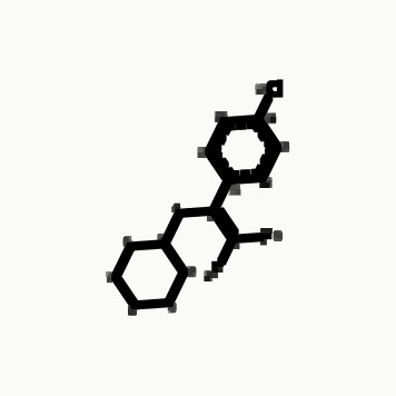 FC(F)=C(CC1CCCCC1)c1ccc(Cl)cc1